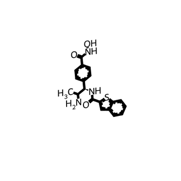 CC(N)[C@@H](NC(=O)c1cc2ccccc2s1)c1ccc(C(=O)NO)cc1